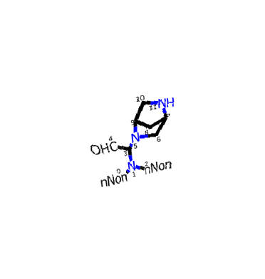 CCCCCCCCCN(CCCCCCCCC)C(C=O)N1CC2CC1CN2